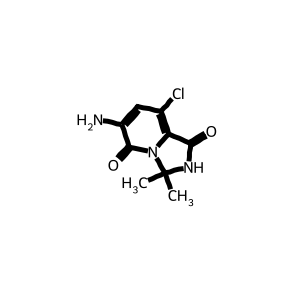 CC1(C)NC(=O)c2c(Cl)cc(N)c(=O)n21